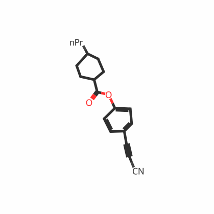 CCCC1CCC(C(=O)Oc2ccc(C#CC#N)cc2)CC1